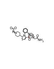 NC(=O)CN1CCN(c2ccccc2N2C(C(N)=O)=CSC2C2CCN(C[SH](=O)=O)CC2)CC1